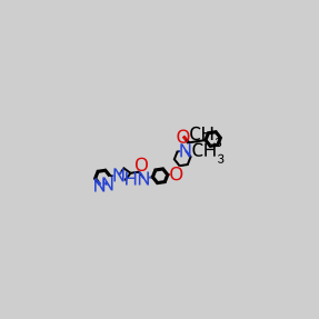 CC(C)(C(=O)N1CCC(Oc2ccc(NC(=O)C3CN(c4cccnn4)C3)cc2)CC1)c1ccccc1